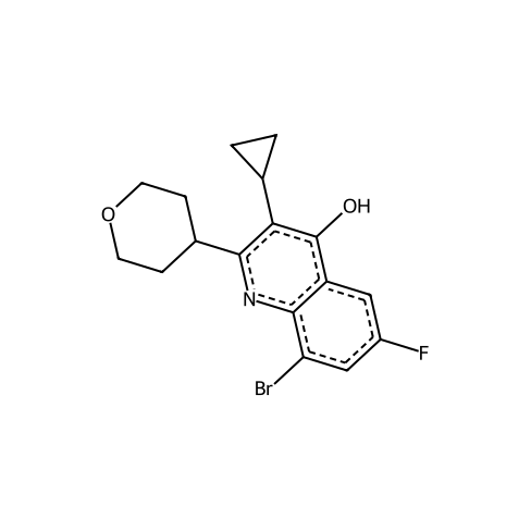 Oc1c(C2CC2)c(C2CCOCC2)nc2c(Br)cc(F)cc12